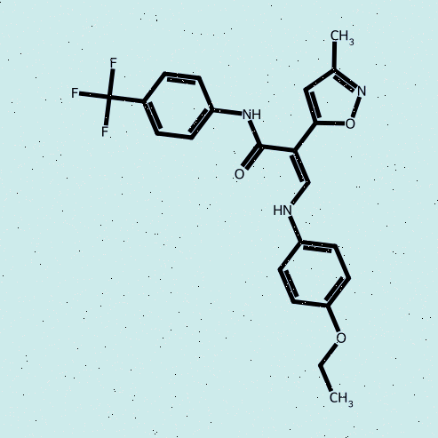 CCOc1ccc(NC=C(C(=O)Nc2ccc(C(F)(F)F)cc2)c2cc(C)no2)cc1